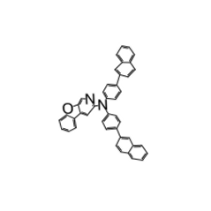 c1ccc2cc(-c3ccc(N(c4ccc(-c5ccc6ccccc6c5)cc4)c4cc5c(cn4)oc4ccccc45)cc3)ccc2c1